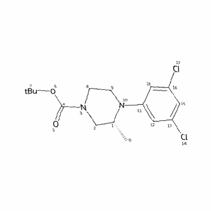 C[C@@H]1CN(C(=O)OC(C)(C)C)CCN1c1cc(Cl)cc(Cl)c1